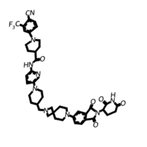 N#Cc1ccc(N2CCC(C(=O)Nc3ccc(N4CCC(CN5CC6(CCN(c7ccc8c(c7)C(=O)N(C7CCC(=O)NC7=O)C8=O)CC6)C5)CC4)cn3)CC2)cc1C(F)(F)F